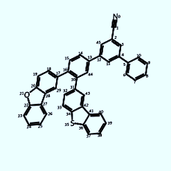 N#Cc1cc(-c2ccccc2)cc(-c2ccc(-c3ccc4oc5ccccc5c4c3)c(-c3ccc4sc5ccccc5c4c3)c2)c1